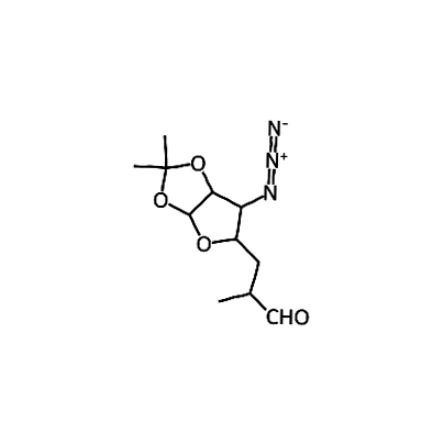 CC(C=O)CC1OC2OC(C)(C)OC2C1N=[N+]=[N-]